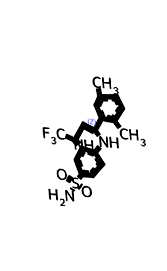 Cc1ccc(C)c(/C(=C/C(=N)C(F)(F)F)Nc2ccc(S(N)(=O)=O)cc2)c1